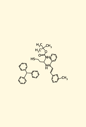 Cc1cccc(C=CN(NC(CCS)NC(=O)OC(C)(C)C)c2ccccc2)c1.c1ccc(C(c2ccccc2)c2ccccc2)cc1